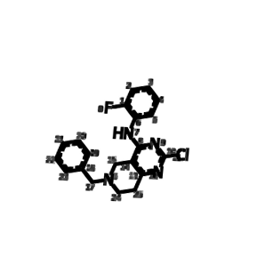 Fc1ccccc1Nc1nc(Cl)nc2c1CN(Cc1ccccc1)CC2